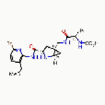 COCc1ccc(Br)nc1NC(=O)[C@@H]1C[C@@]2(CNC(=O)[C@@H](NC(=O)O)C(C)C)C[C@H]2N1